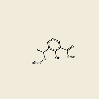 CCCCCCCCCO[C@@H](C)c1cccc(C(=O)SC)c1O